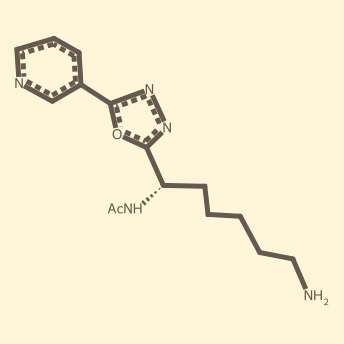 CC(=O)N[C@@H](CCCCCN)c1nnc(-c2cccnc2)o1